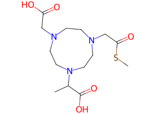 CSC(=O)CN1CCN(CC(=O)O)CCN(C(C)C(=O)O)CC1